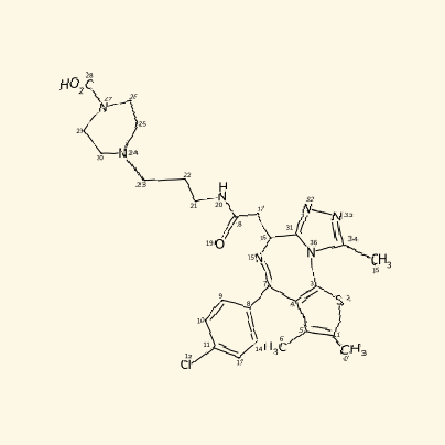 Cc1sc2c(c1C)C(c1ccc(Cl)cc1)=NC(CC(=O)NCCCN1CCN(C(=O)O)CC1)c1nnc(C)n1-2